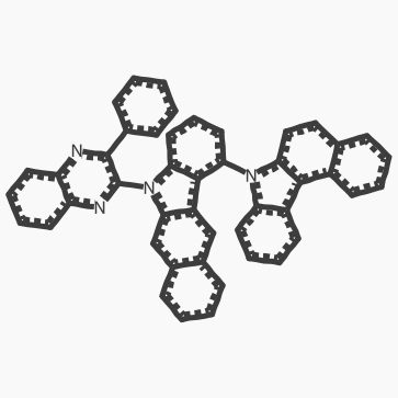 c1ccc(-c2nc3ccccc3nc2-n2c3cc4ccccc4cc3c3c(-n4c5ccccc5c5c6ccccc6ccc54)cccc32)cc1